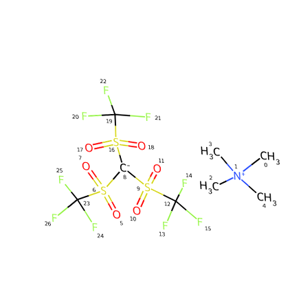 C[N+](C)(C)C.O=S(=O)([C-](S(=O)(=O)C(F)(F)F)S(=O)(=O)C(F)(F)F)C(F)(F)F